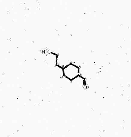 CCCC1CCC(C=O)CC1